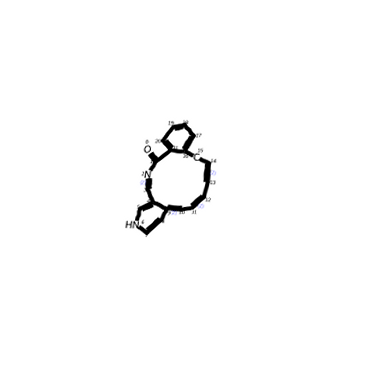 O=C1/N=C\C2=CNC=C/C2=C/C=C\C=C/Cc2ccccc21